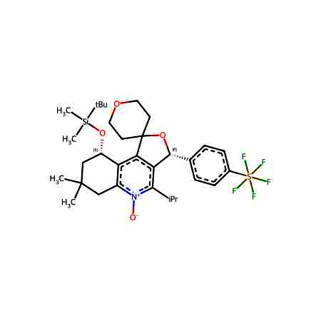 CC(C)c1c2c(c3c([n+]1[O-])CC(C)(C)C[C@@H]3O[Si](C)(C)C(C)(C)C)C1(CCOCC1)O[C@@H]2c1ccc(S(F)(F)(F)(F)F)cc1